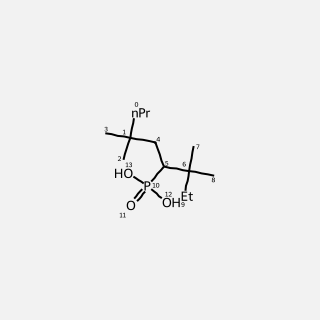 CCCC(C)(C)CC(C(C)(C)CC)P(=O)(O)O